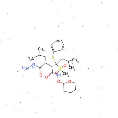 CC(C)C[C@@H](C(=O)NN)[C@@H](C(=O)NOC1CCCCO1)C(CC(C)C)(Sc1ccccc1)S(C)(=O)=O